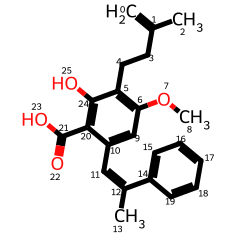 C=C(C)CCc1c(OC)cc(C=C(C)c2ccccc2)c(C(=O)O)c1O